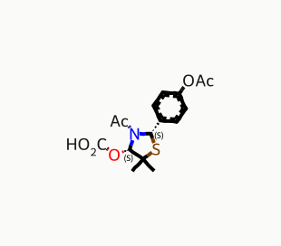 CC(=O)Oc1ccc([C@@H]2SC(C)(C)[C@H](OC(=O)O)N2C(C)=O)cc1